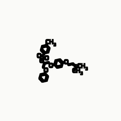 Cc1ccc(S(=O)(=O)OC(COc2ccccc2)COc2ccc(OCC[S+](C)C)cc2)cc1